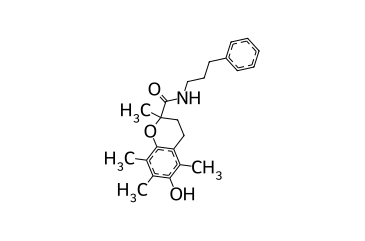 Cc1c(C)c2c(c(C)c1O)CCC(C)(C(=O)NCCCc1ccccc1)O2